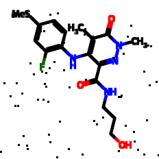 CSc1ccc(Nc2c(C(=O)NCCCO)nn(C)c(=O)c2C)c(F)c1